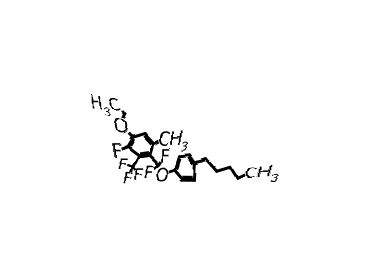 CCCCCc1ccc(OC(F)(F)c2c(C)cc(OCC)c(F)c2C(F)(F)F)cc1